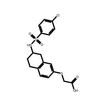 O=C(O)COc1ccc2c(c1)CC(NS(=O)(=O)c1ccc(Cl)cc1)CC2